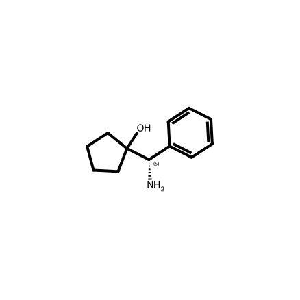 N[C@@H](c1ccccc1)C1(O)CCCC1